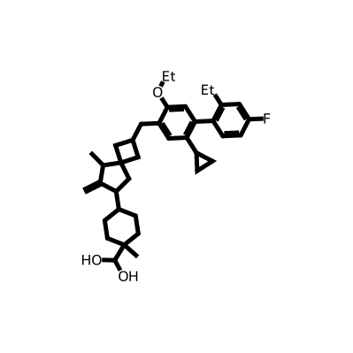 C=C1C(C2CCC(C)(C(O)O)CC2)CC2(CC(Cc3cc(C4CC4)c(-c4ccc(F)cc4CC)cc3OCC)C2)C1C